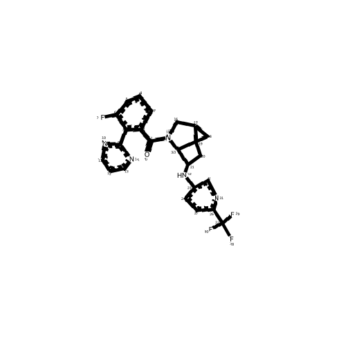 O=C(c1cccc(F)c1-c1ncccn1)N1CC2CC23CC(Nc2ccc(C(F)(F)F)nc2)C13